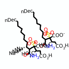 CCCCCCCCCCCCCCCCCCC(C(N)=O)C(C(=O)[O-])(C(CC(=O)O)C(=O)O)S(=O)(=O)[O-].CCCCCCCCCCCCCCCCCCC(C(N)=O)C(C(=O)[O-])(C(CC(=O)O)C(=O)O)S(=O)(=O)[O-].[Na+].[Na+].[Na+].[Na+]